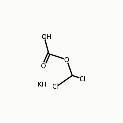 O=C(O)OC(Cl)Cl.[KH]